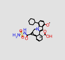 COc1ccc(C2CCCCC2)c2c1cc1n2CC2=C(C(=O)NS(N)(=O)=O)C2=C2C=CC[C@@H](C(=O)O)C21